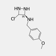 COc1ccc(CN[C@@H]2NNC2Cl)cc1